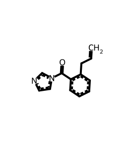 C=CCc1ccccc1C(=O)n1ccnc1